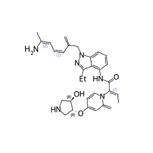 C=C(/C=C\C=C(\C)N)Cn1nc(CC)c2c(NC(=O)/C(=C/C)N3C=CC(O[C@@H]4CNC[C@H]4O)=CC3=C)cccc21